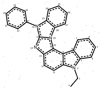 CCn1c2ccccc2c2c1ccc1nc3n(-c4ccccc4)c4ccccc4n3c12